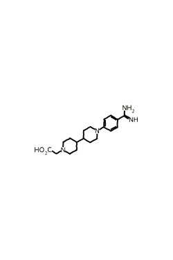 N=C(N)c1ccc(N2CCC(C3CCN(CC(=O)O)CC3)CC2)cc1